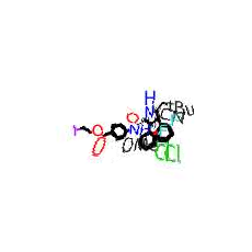 COc1cc(C(=O)OCCI)ccc1NC(=O)[C@@H]1N[C@@H](CC(C)(C)C)[C@](C#N)(c2ccc(Cl)cc2F)[C@H]1c1cccc(Cl)c1F